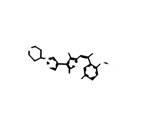 C/C(=C/c1[nH]c(C)c(-c2cnn(C3CCNCC3)c2)c1C)c1cc(F)ccc1NC=O